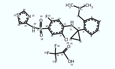 CN(C)Cc1ccccc1C1(Nc2cc(F)c(S(=O)(=O)Nc3cscn3)cc2Cl)CC1.O=C(O)C(F)(F)F